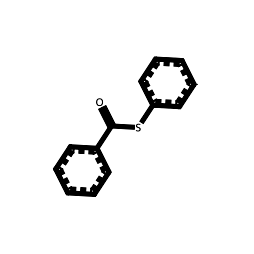 O=C(Sc1c[c]ccc1)c1ccccc1